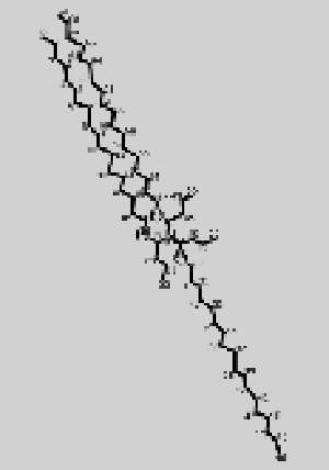 CCCCCCCCCCCCCCCCCCOC(CCC)N(C(CCC)OCCCCCCCCCCCCCCCCCC)C(CCC)OCCCCCCCCCCCCCCCCCC